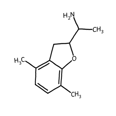 Cc1ccc(C)c2c1CC(C(C)N)O2